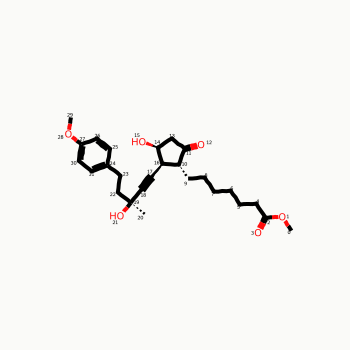 COC(=O)CCCCCC[C@H]1C(=O)C[C@H](O)[C@@H]1C#C[C@@](C)(O)CCc1ccc(OC)cc1